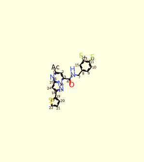 CC(=O)c1cc(C(=O)NCc2ccc(F)c(F)c2)n2nc(-c3cccs3)cc2n1